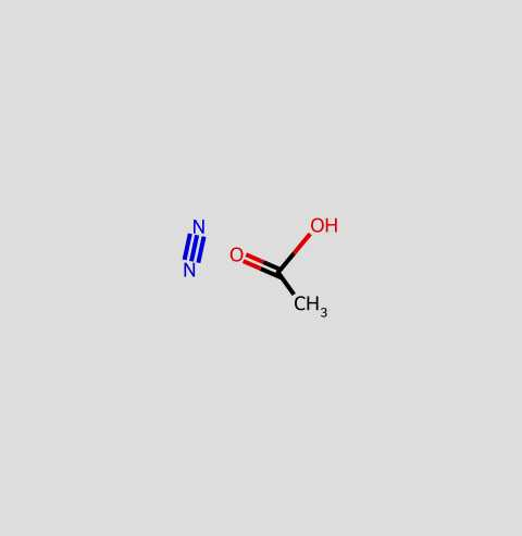 CC(=O)O.N#N